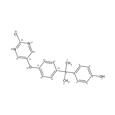 CC(C)(c1ccc(O)cc1)c1ccc(Oc2cnc(Cl)nc2)cc1